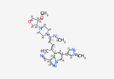 C=N/C(=C\C=C(/C)c1cc(-c2cnn(C)c2)cn2ncc(C#N)c12)N1CCN(C2COC[C@H]2OC)CC1